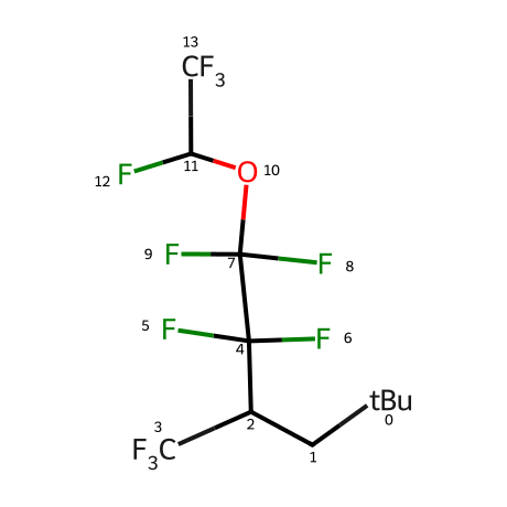 CC(C)(C)CC(C(F)(F)F)C(F)(F)C(F)(F)OC(F)C(F)(F)F